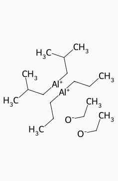 CC(C)[CH2][Al+][CH2]C(C)C.CC[CH2][Al+][CH2]CC.CC[O-].CC[O-]